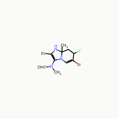 CCC1=C(N(C)C=O)N2C=C(Br)C(F)CC2(C)N1